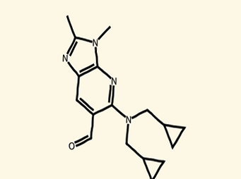 Cc1nc2cc(C=O)c(N(CC3CC3)CC3CC3)nc2n1C